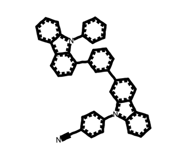 N#Cc1ccc(-n2c3ccccc3c3ccc(-c4cccc(-c5cccc6c7ccccc7n(-c7ccccc7)c56)c4)cc32)cc1